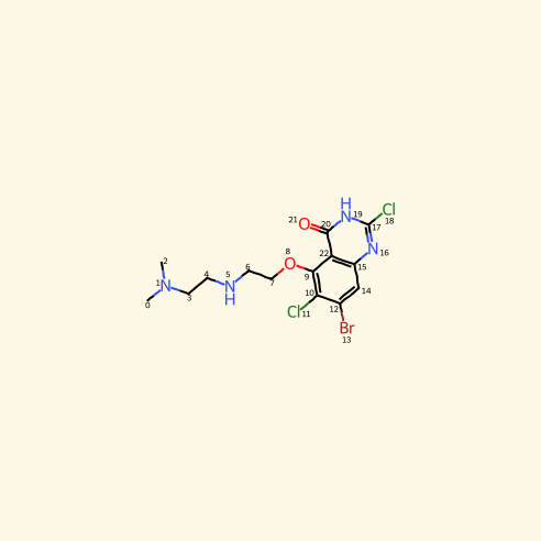 CN(C)CCNCCOc1c(Cl)c(Br)cc2nc(Cl)[nH]c(=O)c12